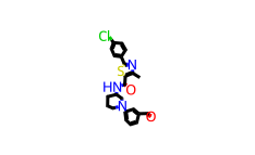 Cc1nc(-c2ccc(Cl)cc2)sc1C(=O)NC1CCCN(c2cccc(C=O)c2)C1